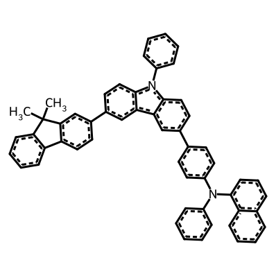 CC1(C)c2ccccc2-c2ccc(-c3ccc4c(c3)c3cc(-c5ccc(N(c6ccccc6)c6cccc7ccccc67)cc5)ccc3n4-c3ccccc3)cc21